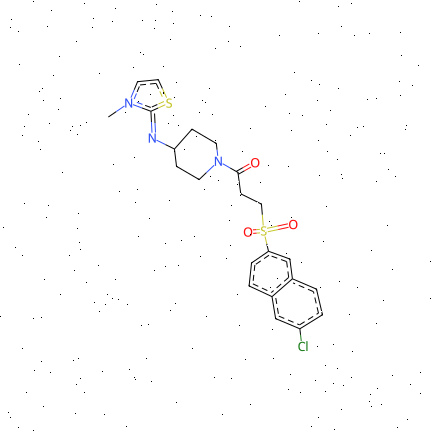 Cn1ccs/c1=N\C1CCN(C(=O)CCS(=O)(=O)c2ccc3cc(Cl)ccc3c2)CC1